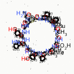 CCCC[C@H]1C(=O)N(C)CC(=O)N[C@@H](CC(=O)O)C(=O)N[C@@H](C(C)OC)C(=O)N(C)[C@@H](Cc2ccccc2)C(=O)N[C@@H](Cc2ccc(O)cc2)C(=O)N(C)CC(=O)N[C@@H](Cc2c[nH]c3ccccc23)C(=O)N[C@@H](Cc2ccc(O)cc2)C(=O)NCC(=O)N[C@H](C(=O)NCC(N)=O)C(CC(C)C)SCC(=O)N[C@@H](Cc2ccccc2)C(=O)N(C)[C@@H](Cc2ccccc2)C(=O)N1C